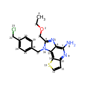 CCOCc1nc2c(N)nc3ccsc3c2n1Cc1ccc(CCl)cc1